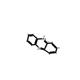 [c]1[c]c2c(cc1)N=c1ccccc1=[As]2